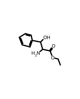 CCOC(=O)C(N)C(O)c1ccccc1